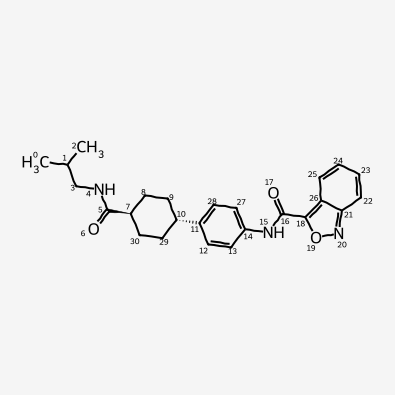 CC(C)CNC(=O)[C@H]1CC[C@H](c2ccc(NC(=O)c3onc4ccccc34)cc2)CC1